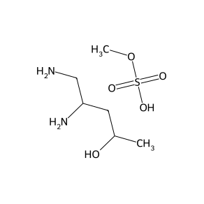 CC(O)CC(N)CN.COS(=O)(=O)O